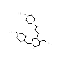 CCC1CCN(CC2CCN(C)CC2)CC1CCCN1CCN(C)CC1